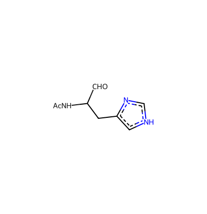 CC(=O)NC(C=O)Cc1c[nH]cn1